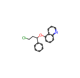 ClCCC(Oc1cccc2ncccc12)c1ccccc1